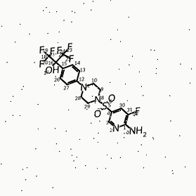 Nc1ncc(S(=O)(=O)N2CCN(c3ccc(C(O)(C(F)(F)F)C(F)(F)F)cc3)CC2)cc1F